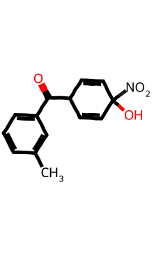 Cc1cccc(C(=O)C2C=CC(O)([N+](=O)[O-])C=C2)c1